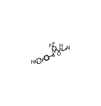 N#CCNC(=O)[C@@H]1CC(F)(F)CN1C1CC1c1ccc(N2CCNCC2)cc1